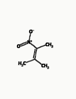 CC(C)=C(C)[N+](=O)[O-]